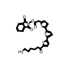 O=C(Cc1ccc(-c2ccc(-c3ccc(C(=O)CCCCCS)s3)s2)s1)ON1C(=O)c2ccccc2C1=O